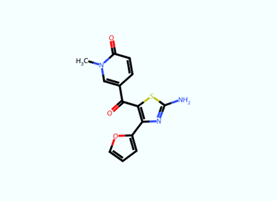 Cn1cc(C(=O)c2sc(N)nc2-c2ccco2)ccc1=O